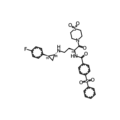 O=C(N[C@@H](CCN[C@@H]1C[C@H]1c1ccc(F)cc1)C(=O)N1CCS(=O)(=O)CC1)c1ccc(S(=O)(=O)c2ccccc2)cc1